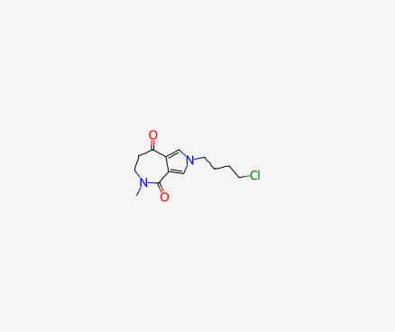 CN1CCC(=O)c2cn(CCCCCl)cc2C1=O